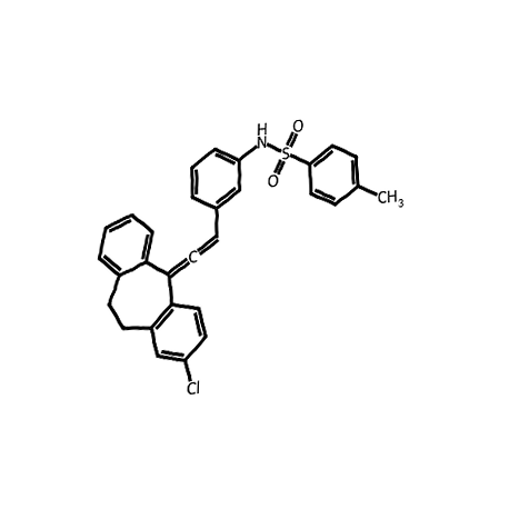 Cc1ccc(S(=O)(=O)Nc2cccc(C=C=C3c4ccccc4CCc4cc(Cl)ccc43)c2)cc1